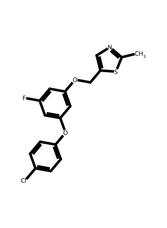 Cc1ncc(COc2cc(F)cc(Oc3ccc(Cl)cc3)c2)s1